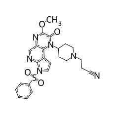 COc1nc2cnc3c(ccn3S(=O)(=O)c3ccccc3)c2n(C2CCN(CCC#N)CC2)c1=O